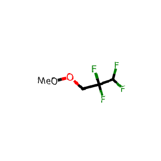 COOCC(F)(F)C(F)F